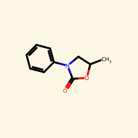 CC1CN(c2ccccc2)C(=O)O1